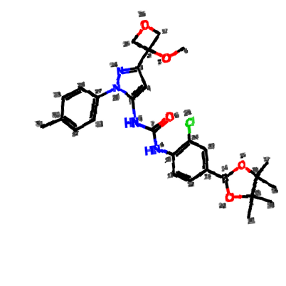 COC1(c2cc(NC(=O)Nc3ccc(B4OC(C)(C)C(C)(C)O4)cc3Cl)n(-c3ccc(C)cc3)n2)COC1